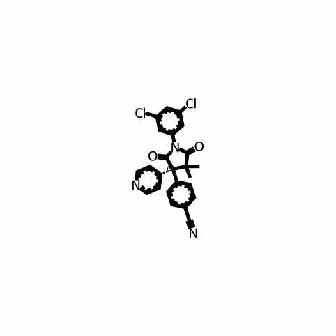 CC1(C)C(=O)N(c2cc(Cl)cc(Cl)c2)C(=O)[C@]1(c1ccncc1)c1ccc(C#N)cc1